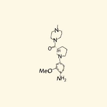 COc1cc(N2CCC[C@@H](C(=O)N3CCN(C)CC3)C2)ccc1N